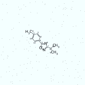 Cc1ccc(-c2nc(C(C)C)no2)cc1